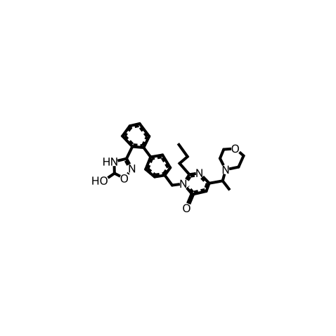 CCCc1nc(C(C)N2CCOCC2)cc(=O)n1Cc1ccc(-c2ccccc2C2=NOC(O)N2)cc1